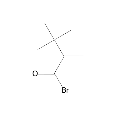 C=C(C(=O)Br)C(C)(C)C